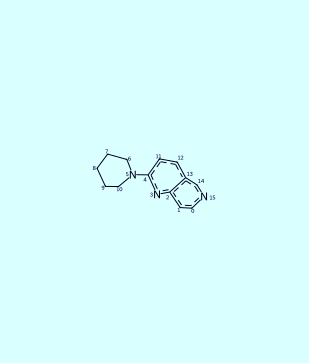 c1cc2nc(N3CCCCC3)ccc2cn1